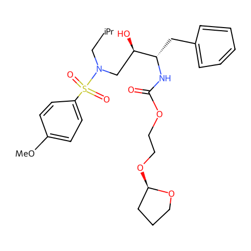 COc1ccc(S(=O)(=O)N(CC(C)C)C[C@@H](O)[C@H](Cc2ccccc2)NC(=O)OCCO[C@@H]2CCCO2)cc1